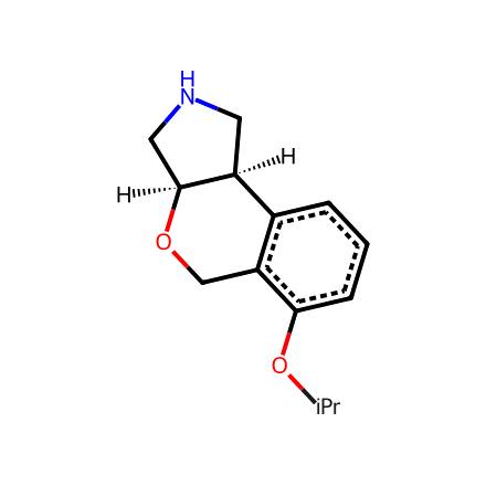 CC(C)Oc1cccc2c1CO[C@H]1CNC[C@@H]21